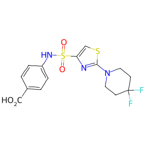 O=C(O)c1ccc(NS(=O)(=O)c2csc(N3CCC(F)(F)CC3)n2)cc1